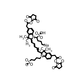 CC1(C)C(=CC=CC=CC2=[N+](CCCCS(=O)(=O)[O-])c3ccc(CC(=O)ON4C(=O)CCC4=O)cc3C2(C)C)N(C(CC[CH2][Na])S(=O)(=O)O)c2ccc(CC(=O)ON3C(=O)CCC3=O)cc21